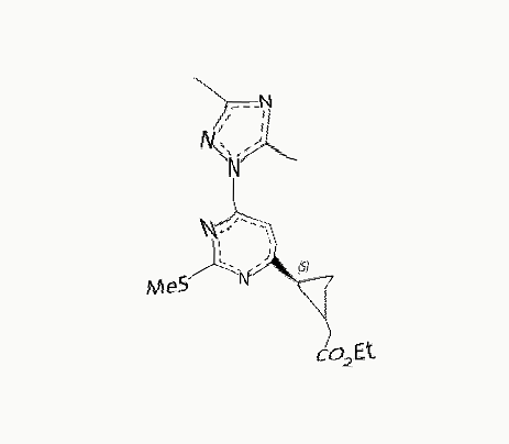 CCOC(=O)C1C[C@@H]1c1cc(-n2nc(C)nc2C)nc(SC)n1